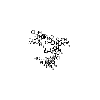 CC(C)OC(=O)c1cc(-n2c(=O)cc(C(F)(F)F)n(C)c2=O)ccc1Cl.CC1(C)OC(c2ccco2)CN1C(=O)C(Cl)Cl.CCc1cccc(C)c1N(C(=O)CCl)C(C)COC.C[S+](C)C.O=C(O)CNCP(=O)([O-])O